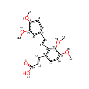 COc1ccc(/C=C/c2c(/C=C/C(=O)O)ccc(OC)c2OC)cc1OC